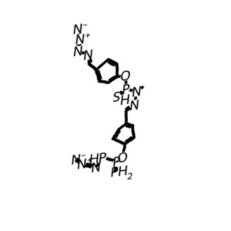 CN(/N=C/c1ccc(OP(P)PN=[N+]=[N-])cc1)[PH](=S)Oc1ccc(C=NN=[N+]=[N-])cc1